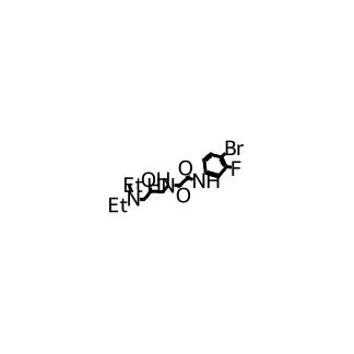 CCN(CC)CC(O)CNC(=O)C(=O)Nc1ccc(Br)c(F)c1